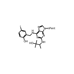 CCCCCn1cnc2c(NCc3cc(I)ccc3O)nc(NC(C)C(C)(C)O)nc21